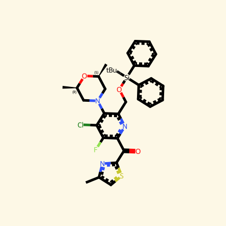 Cc1csc(C(=O)c2nc(CO[Si](c3ccccc3)(c3ccccc3)C(C)(C)C)c(N3C[C@@H](C)O[C@@H](C)C3)c(Cl)c2F)n1